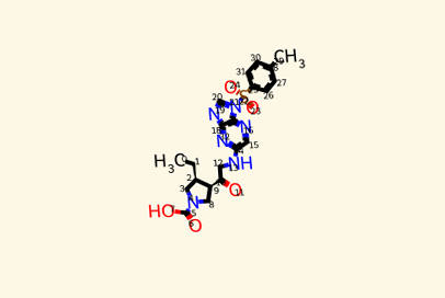 CC[C@@H]1CN(C(=O)O)C[C@@H]1C(=O)CNc1cnc2c(ncn2S(=O)(=O)c2ccc(C)cc2)n1